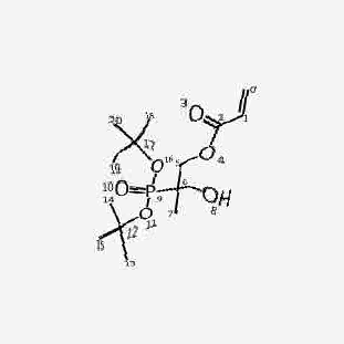 C=CC(=O)OCC(C)(O)P(=O)(OC(C)(C)C)OC(C)(C)C